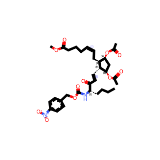 CCCC[C@H](NC(=O)OCc1ccc([N+](=O)[O-])cc1)C(=O)/C=C/[C@@H]1[C@@H](C/C=C\CCCC(=O)OC)[C@@H](OC(C)=O)C[C@H]1OC(C)=O